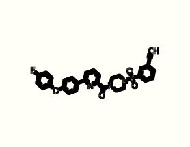 C#Cc1cccc(S(=O)(=O)N2CCN(C(=O)c3cccc(-c4ccc(Oc5ccc(F)cc5)cc4)n3)CC2)c1